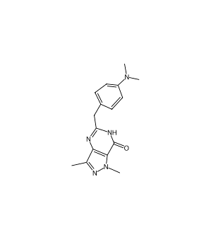 Cc1nn(C)c2c(=O)[nH]c(Cc3ccc(N(C)C)cc3)nc12